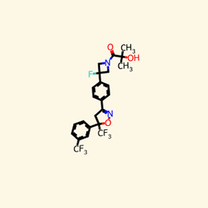 CC(C)(O)C(=O)N1CC(F)(c2ccc(C3=NOC(c4cccc(C(F)(F)F)c4)(C(F)(F)F)C3)cc2)C1